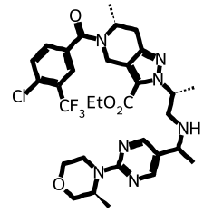 CCOC(=O)c1c2c(nn1[C@H](C)CNC(C)c1cnc(N3CCOC[C@@H]3C)nc1)C[C@@H](C)N(C(=O)c1ccc(Cl)c(C(F)(F)F)c1)C2